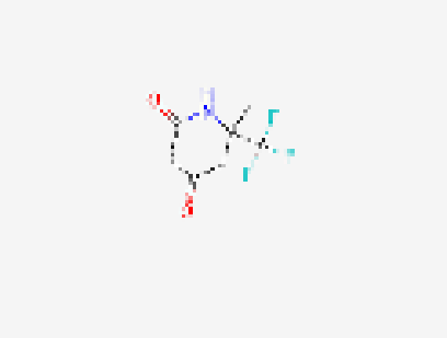 CC1(C(F)(F)F)CC(=O)CC(=O)N1